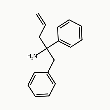 C=CCC(N)(Cc1ccccc1)c1ccccc1